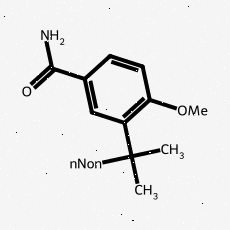 CCCCCCCCCC(C)(C)c1cc(C(N)=O)ccc1OC